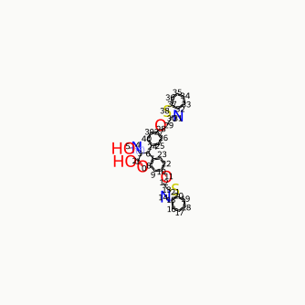 O=C(O)/C(=N\O)C(c1ccc(OCc2nc3ccccc3s2)cc1)c1ccc(OCc2nc3ccccc3s2)cc1